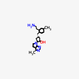 Cc1ccc(C[C@@H]2C[C@@H](O)[C@H](n3ccc4c(C)ncnc43)C2)c(CCN)c1